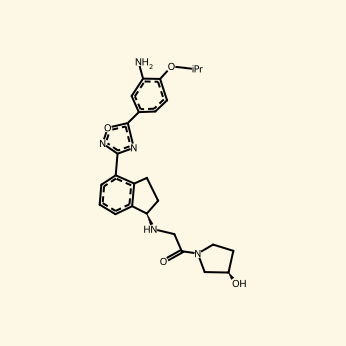 CC(C)Oc1ccc(-c2nc(-c3cccc4c3CC[C@H]4NCC(=O)N3CC[C@@H](O)C3)no2)cc1N